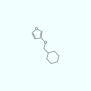 c1cc(OCC2CCCCC2)co1